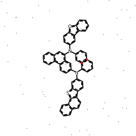 c1ccc(N(c2ccc3c(c2)sc2c4ccccc4ccc32)c2ccc3c(c2)c(N(c2ccccc2)c2ccc4oc5ccccc5c4c2)cc2ccccc23)cc1